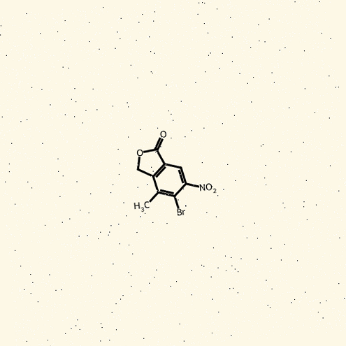 Cc1c(Br)c([N+](=O)[O-])cc2c1COC2=O